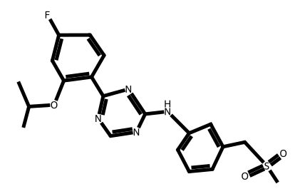 CC(C)Oc1cc(F)ccc1-c1ncnc(Nc2cccc(CS(C)(=O)=O)c2)n1